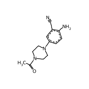 CC(=O)N1CCN(c2ccc(N)c(C#N)c2)CC1